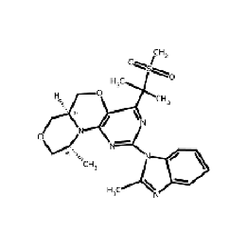 Cc1nc2ccccc2n1-c1nc2c(c(C(C)(C)S(C)(=O)=O)n1)OC[C@@H]1COC[C@@H](C)N21